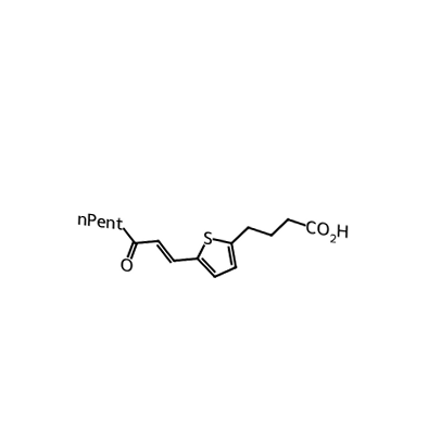 CCCCCC(=O)C=Cc1ccc(CCCC(=O)O)s1